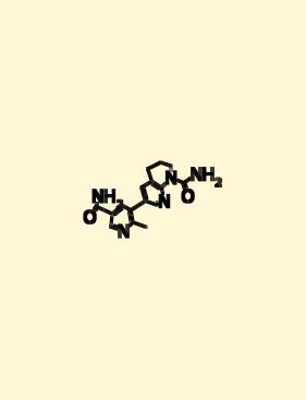 Cc1ncc(C(N)=O)cc1-c1cnc2c(c1)CCCN2C(N)=O